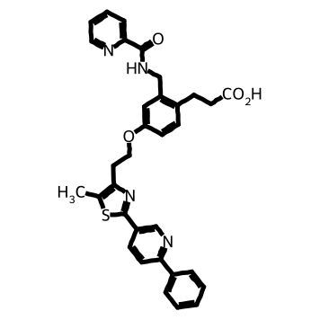 Cc1sc(-c2ccc(-c3ccccc3)nc2)nc1CCOc1ccc(CCC(=O)O)c(CNC(=O)c2ccccn2)c1